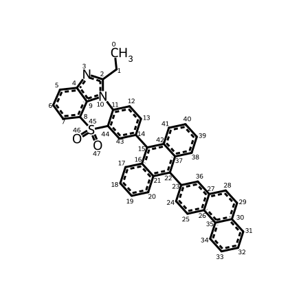 CCc1nc2cccc3c2n1-c1ccc(-c2c4ccccc4c(-c4ccc5c(ccc6ccccc65)c4)c4ccccc24)cc1S3(=O)=O